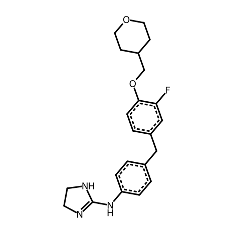 Fc1cc(Cc2ccc(NC3=NCCN3)cc2)ccc1OCC1CCOCC1